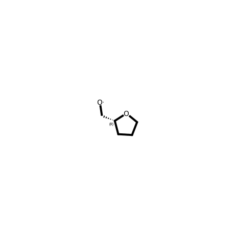 [O]C[C@H]1CCCO1